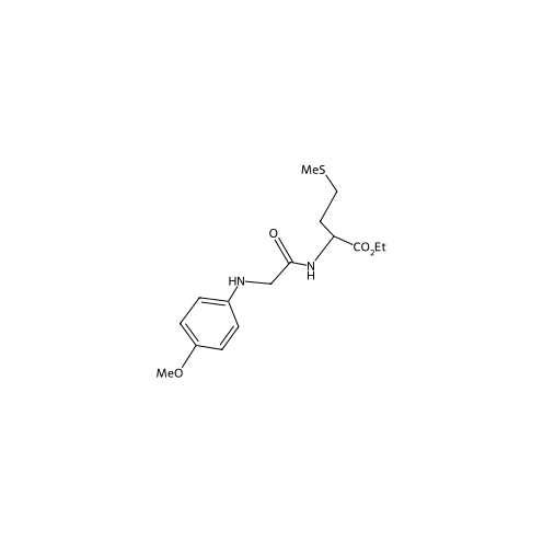 CCOC(=O)C(CCSC)NC(=O)CNc1ccc(OC)cc1